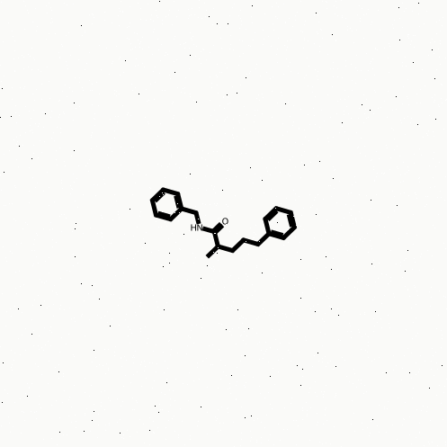 CC(CCCc1ccccc1)C(=O)NCc1ccccc1